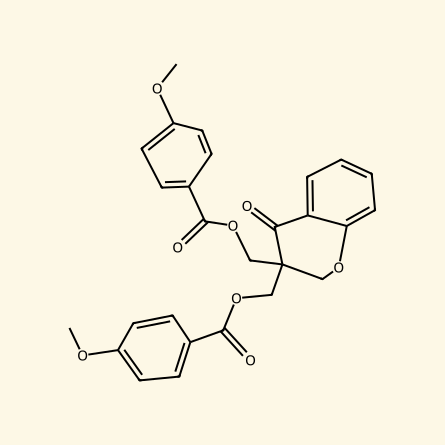 COc1ccc(C(=O)OCC2(COC(=O)c3ccc(OC)cc3)COc3ccccc3C2=O)cc1